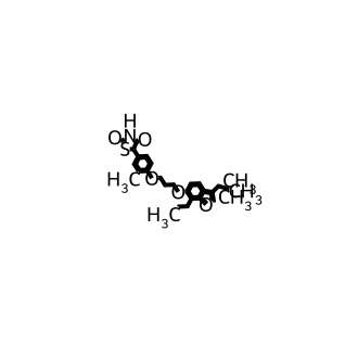 CCCc1c(OCCCOc2ccc(C3SC(=O)NC3=O)cc2C)ccc2c(CC(C)(C)C)coc12